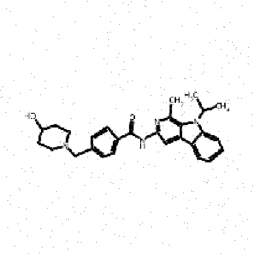 Cc1nc(NC(=O)c2ccc(CN3CCC(O)CC3)cc2)cc2c3ccccc3n(C(C)C)c12